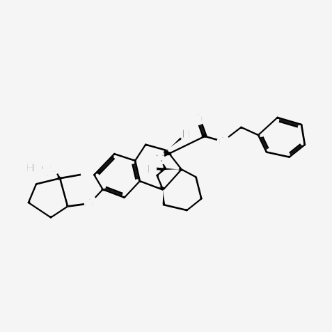 CC1(C(=O)O)CCCC1Oc1ccc2c(c1)[C@@]13CCCC[C@H]1[C@@H](C2)N(C(=O)OCc1ccccc1)CC3